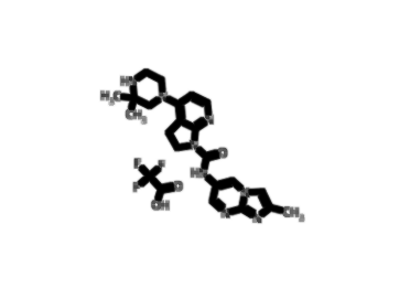 Cc1cn2cc(NC(=O)N3CCc4c(N5CCNC(C)(C)C5)ccnc43)cnc2n1.O=C(O)C(F)(F)F